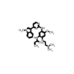 C=CC(=O)Nc1cc(Nc2nccc(-c3cn(C)c4ccccc34)n2)c(OC)cc1NCCN(C)C